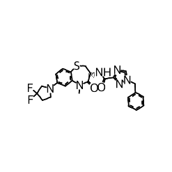 CN1C(=O)[C@@H](NC(=O)c2ncn(Cc3ccccc3)n2)CSc2ccc(N3CCC(F)(F)C3)cc21